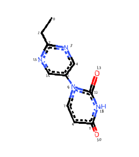 CCc1ncc(-n2ccc(=O)[nH]c2=O)cn1